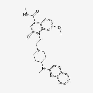 CNC(=O)c1cc(=O)n(CCN2CCC(N(C)c3ccc4ccccc4n3)CC2)c2cc(OC)ccc12